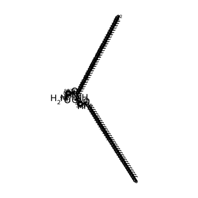 C=C=C=C=C=C=C=C=C=C=C=C=C=C=C=C=C=C=C=C=C=C=C=C=C=C=C=C=C=C=C=C=C=C=C=CNC(=O)c1cccc(C(=O)NC(=C=C=C=C=C=C=C=C=C=C=C=C=C=C=C=C=C=C=C=C=C=C=C=C=C=C=C=C=C=C=C=C=C=C=C)NC(=O)c2cccc(C(N)=O)c2)c1